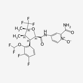 C[C@@H]1[C@H](c2ccc(F)c(F)c2OC(F)F)[C@H](C(=O)Nc2cc[n+]([O-])c(C(N)=O)c2)O[C@@]1(C)C(F)(F)F